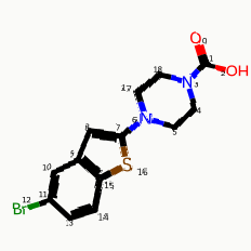 O=C(O)N1CCN(c2cc3cc(Br)ccc3s2)CC1